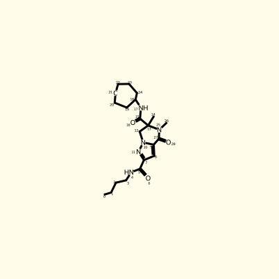 CCCCNC(=O)c1cc2n(n1)CC(C)(C(=O)NC1CCCCCC1)N(C)C2=O